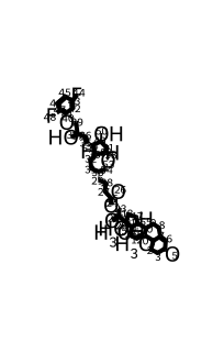 C[C@]12CCC(=O)C=C1CC[C@@H]1C2=CC[C@@]2(C)[C@H]1CC[C@]2(O)C(=O)COC(=O)CCC[C@@H]1CC[C@H]2[C@H](/C=C/C(O)COc3cc(F)ccc3F)[C@@H](O)C[C@H]2OC1